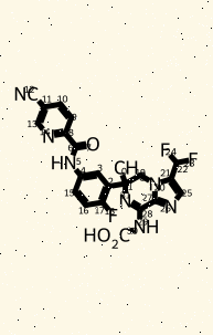 CC1(c2cc(NC(=O)c3ccc(C#N)cn3)ccc2F)Cn2c(C(F)F)cnc2C(NC(=O)O)=N1